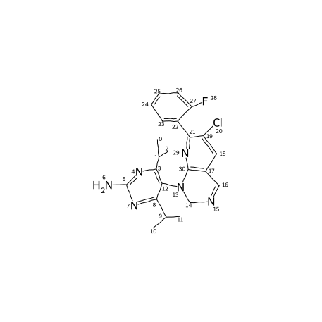 CC(C)c1nc(N)nc(C(C)C)c1N1CN=Cc2cc(Cl)c(-c3ccccc3F)nc21